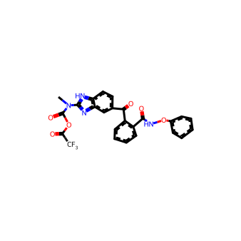 CN(C(=O)OC(=O)C(F)(F)F)c1nc2cc(C(=O)c3ccccc3C(=O)NOc3ccccc3)ccc2[nH]1